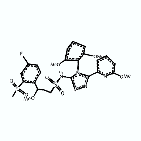 COc1cccc(-c2nnc(NS(=O)(=O)CC(OC)c3ccc(F)cc3S(C)(=O)=O)n2-c2c(OC)cccc2OC)n1